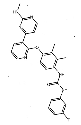 CNc1nccc(-c2cccnc2Oc2ccc(NC(=O)Nc3cccc(F)c3)c(C)c2C)n1